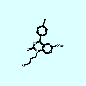 COc1ccc2c(c1)c(-c1ccc(C(C)C)cc1)nc(=O)n2CCCCl